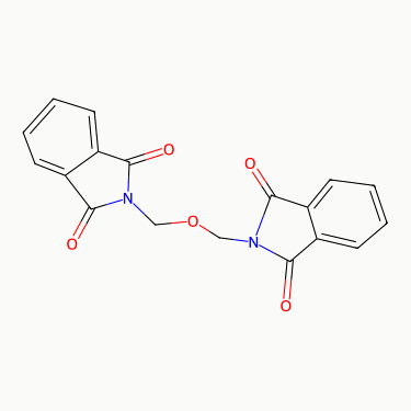 O=C1c2ccccc2C(=O)N1COCN1C(=O)c2ccccc2C1=O